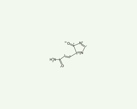 NC(=O)C=CC1=NC=NC1=O